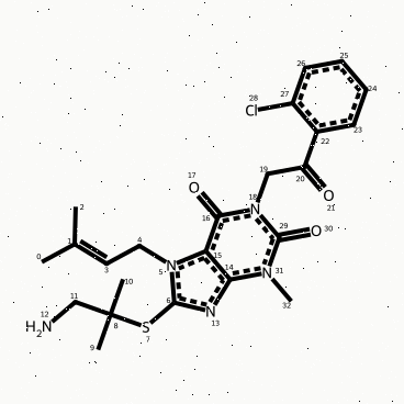 CC(C)=CCn1c(SC(C)(C)CN)nc2c1c(=O)n(CC(=O)c1ccccc1Cl)c(=O)n2C